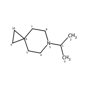 CC(C)N1CCC2(CC1)CC2